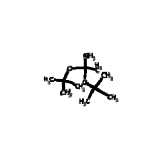 CC(C)(C)OC(C)([SiH3])OC(C)(C)C